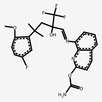 COc1ccc(F)cc1C(C)(C)CC(O)(C=Nc1cccc2ccc(OC(N)=O)nc12)C(F)(F)F